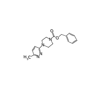 Cc1ccc(N2CCN(C(=O)OCc3ccccc3)CC2)nn1